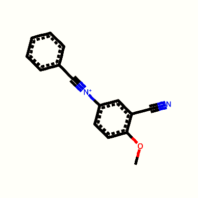 COc1ccc([N+]#Cc2ccccc2)cc1C#N